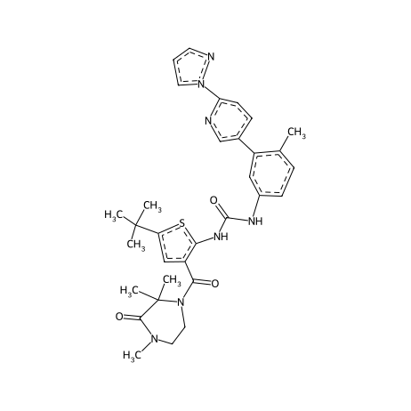 Cc1ccc(NC(=O)Nc2sc(C(C)(C)C)cc2C(=O)N2CCN(C)C(=O)C2(C)C)cc1-c1ccc(-n2cccn2)nc1